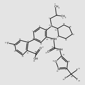 CC(C)CN(c1ccc(-c2cc(F)ccc2C(=O)O)cc1NC(=O)Nc1cc(C(F)(F)F)no1)C1CCCCC1